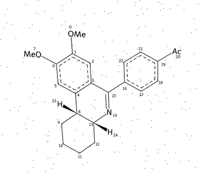 COc1cc2c(cc1OC)[C@H]1CCCC[C@H]1N=C2c1ccc(C(C)=O)cc1